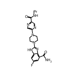 CC(C)NC(=O)c1cnc(N2CCN(c3nc4c(C(N)=O)cc(F)cc4[nH]3)CC2)cn1